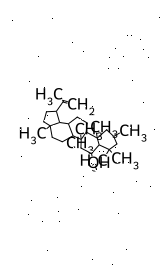 C=C(C)C1CCC2(C)CCC3(C)C(CCC4C5(C)CC(C)CC(C)(C)C5C(O)CC43C)C12